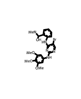 CNC(O)c1ccccc1Nc1nc(Nc2cc(OC)c(OC)c(OC)c2)ncc1Br